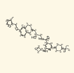 Cc1ncoc1COc1ccc2c(c1)CCN(C[C@@H](O)CNC(=O)c1cc(NC3COC3)nc(N3CCN(C(C)(C)C)CC3)c1)C2